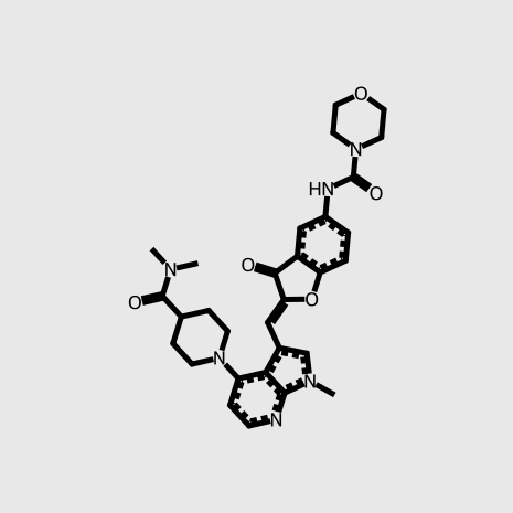 CN(C)C(=O)C1CCN(c2ccnc3c2c(/C=C2\Oc4ccc(NC(=O)N5CCOCC5)cc4C2=O)cn3C)CC1